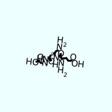 CN(CC(=O)O)NC(=O)C[C@H](CCN)NC(=O)[C@@H](N)CCC(=O)O